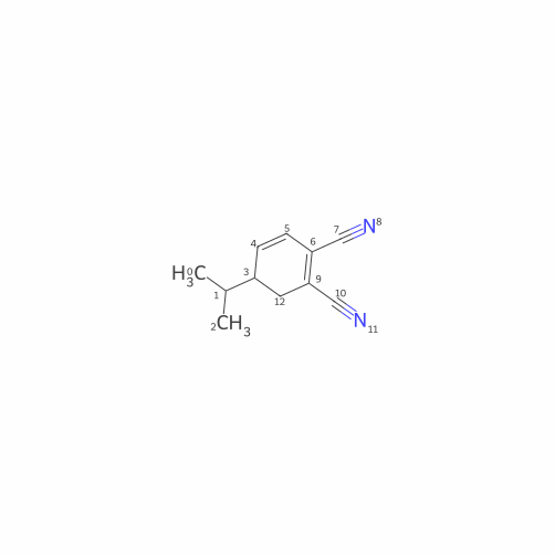 CC(C)C1C=CC(C#N)=C(C#N)C1